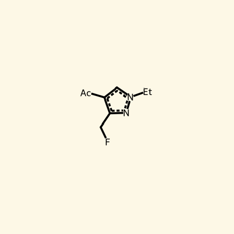 CCn1cc(C(C)=O)c(CF)n1